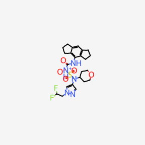 O=C(Nc1c2c(cc3c1CCC3)CCC2)[NH+]([O-])S(=O)(=O)N(c1cnn(CC(F)F)c1)C1CCOCC1